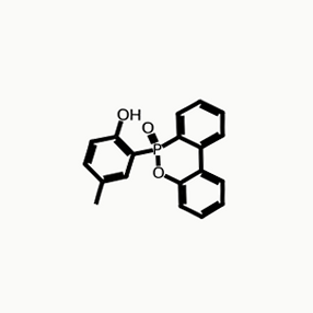 Cc1ccc(O)c(P2(=O)Oc3ccccc3-c3ccccc32)c1